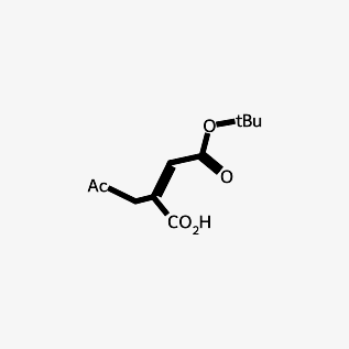 CC(=O)C/C(=C/C(=O)OC(C)(C)C)C(=O)O